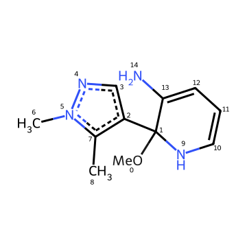 COC1(c2cnn(C)c2C)NC=CC=C1N